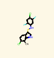 N#Cc1c(Cl)ccc2c(SNc3cc(F)c(Cl)cc3F)c[nH]c12